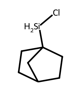 Cl[SiH2]C12CCC(CC1)C2